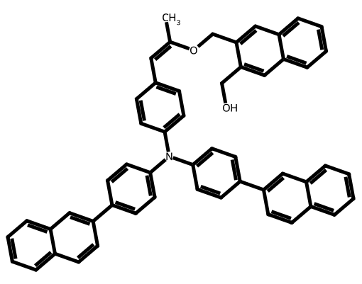 CC(=Cc1ccc(N(c2ccc(-c3ccc4ccccc4c3)cc2)c2ccc(-c3ccc4ccccc4c3)cc2)cc1)OCc1cc2ccccc2cc1CO